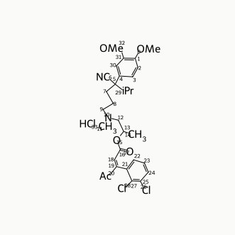 COc1ccc(C(C#N)(CCCN(C)CC(C)OC(=O)C=C(C(C)=O)c2cccc(Cl)c2Cl)C(C)C)cc1OC.Cl